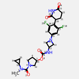 CN(C(=O)N1CC[C@@H](OC(=O)NC2CN(c3cc(F)c(C4CCC(=O)NC4=O)c(F)c3)C2)C1)C1CC1